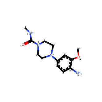 CNC(=O)N1CCN(c2ccc(N)c(OC)c2)CC1